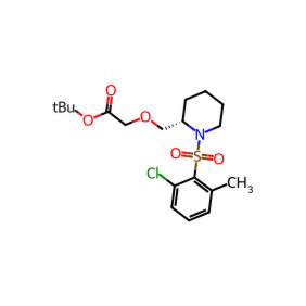 Cc1cccc(Cl)c1S(=O)(=O)N1CCCC[C@H]1COCC(=O)OC(C)(C)C